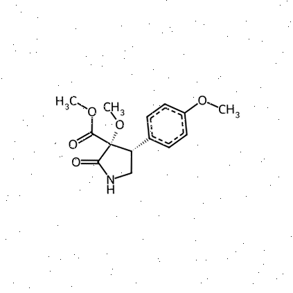 COC(=O)[C@]1(OC)C(=O)NC[C@H]1c1ccc(OC)cc1